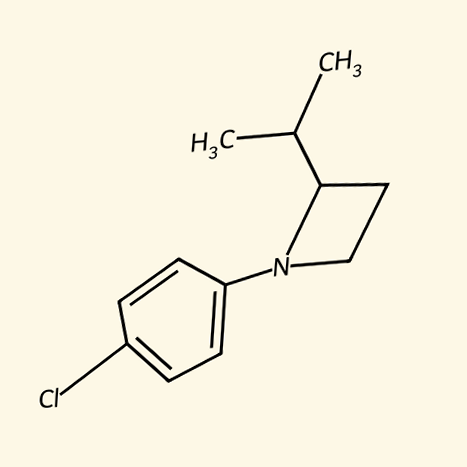 CC(C)C1CCN1c1ccc(Cl)cc1